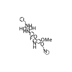 COC1=CC2=C(Oc3ccc(NC(O)C(O)NCCc4ccccc4)cc3F)C=CNC2C=C1OCCCN1CCCCC1